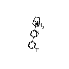 CN1C2CCC1CC(c1ccc(-c3cccc(F)c3)cn1)C2